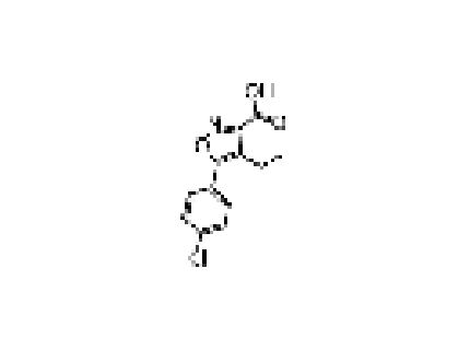 CCc1c(C(=O)O)noc1-c1ccc(Cl)cc1